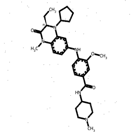 CC[C@@H]1C(=O)N(C)c2ccc(Nc3ccc(C(=O)NC4CCN(C)CC4)cc3OC)cc2N1C1CCCC1